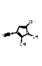 Cn1c(O)cc(C#N)c1O